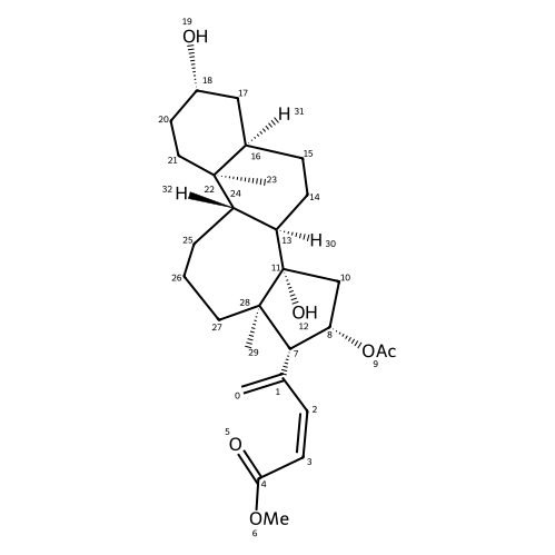 C=C(/C=C\C(=O)OC)[C@H]1[C@@H](OC(C)=O)C[C@]2(O)[C@@H]3CC[C@@H]4C[C@@H](O)CC[C@]4(C)[C@H]3CCC[C@]12C